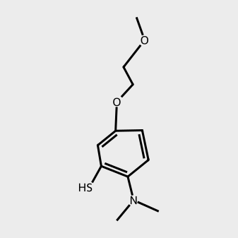 COCCOc1ccc(N(C)C)c(S)c1